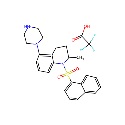 CC1CCc2c(N3CCNCC3)cccc2N1S(=O)(=O)c1cccc2ccccc12.O=C(O)C(F)(F)F